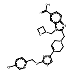 O=C(O)c1ccc2nc(CN3CC=C(c4csc(OCc5ccc(Cl)cn5)n4)CC3)n(C[C@@H]3CCO3)c2c1